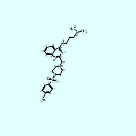 CC(=O)c1ccc(S(=O)(=O)N2CCN(Cc3nc(NCCCN(C)C)c4ccccc4n3)CC2)cc1